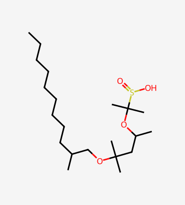 CCCCCCCCCC(C)COC(C)(C)CC(C)OC(C)(C)S(=O)O